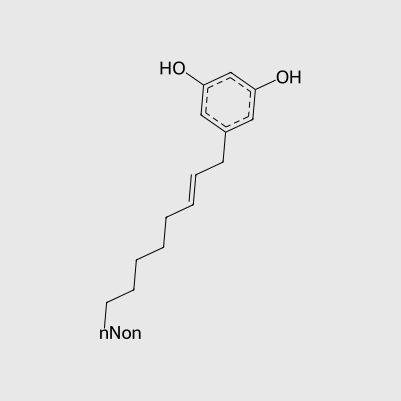 CCCCCCCCCCCCCCC=CCc1cc(O)cc(O)c1